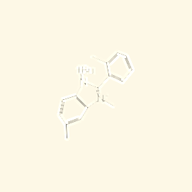 Cc1ccc2c(c1)[n+](C)c(-c1ccccc1C)n2C(C)(C)C